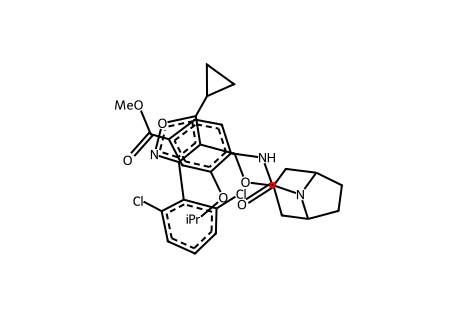 COC(=O)c1ccc(NC(=O)N2C3CCC2CC(OCc2c(-c4c(Cl)cccc4Cl)noc2C2CC2)C3)c(OC(C)C)c1